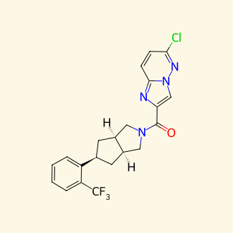 O=C(c1cn2nc(Cl)ccc2n1)N1C[C@H]2C[C@@H](c3ccccc3C(F)(F)F)C[C@H]2C1